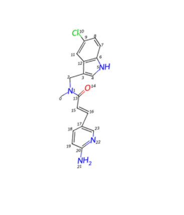 CN(Cc1c[nH]c2ccc(Cl)cc12)C(=O)/C=C/c1ccc(N)nc1